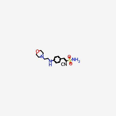 N#C/C(=C\c1ccc(NCCN2CCOCC2)cc1)S(N)(=O)=O